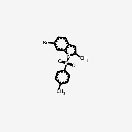 Cc1ccc(S(=O)(=O)n2c(C)cc3ccc(Br)cc32)cc1